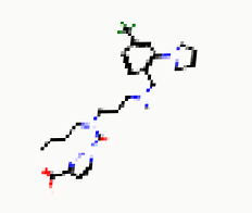 CCCCN(CCCN(C)Cc1ccc(C(F)(F)F)cc1N1CCCC1)C(=O)n1ccc(C(=O)O)n1